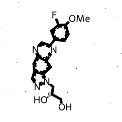 COc1ccc(-c2cnc3cc4cnn(C[C@@H](O)CO)c4cc3n2)cc1F